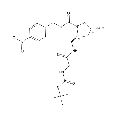 CC(C)(C)OC(=O)NCC(=O)NC[C@@H]1C[C@@H](O)CN1C(=O)OCc1ccc([N+](=O)[O-])cc1